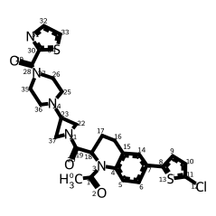 CC(=O)N1c2ccc(-c3ccc(Cl)s3)cc2CCC1C(=O)N1CC(N2CCN(C(=O)c3nccs3)CC2)C1